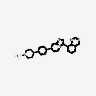 CN1CCC(c2ccc(-c3ccn4c(-c5cccc6cncnc56)cnc4c3)cc2)CC1